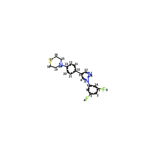 Fc1cc(F)cc(-n2cc(-c3ccc(N4CCSCC4)cc3)cn2)c1